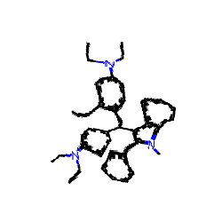 CCc1cc(N(CC)CC)ccc1C(c1ccc(N(CC)CC)cc1)c1c(-c2ccccc2)n(C)c2ccccc12